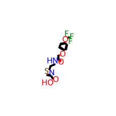 O=C(COc1ccc(OC(F)(F)F)cc1)NCCc1nc(C(=O)O)cs1